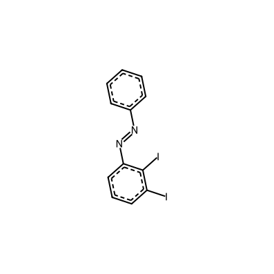 Ic1cccc(N=Nc2ccccc2)c1I